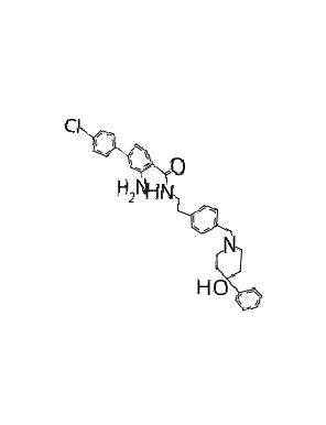 Nc1cc(-c2ccc(Cl)cc2)ccc1C(=O)NCCc1ccc(CN2CCC(O)(c3ccccc3)CC2)cc1